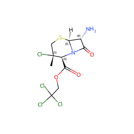 C[C@@]1(Cl)CS[C@H]2[C@H](N)C(=O)N2[C@H]1C(=O)OCC(Cl)(Cl)Cl